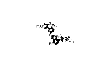 COc1ccc(Nc2cc3c(C(C)C)ccc(N4C[C@H](CS(C)(=O)=O)[C@H]4C)c3cn2)nc1-c1cn(C)nc1Cl